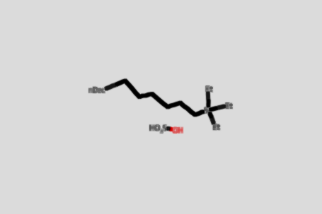 CCCCCCCCCCCCCCCC[Si](CC)(CC)CC.O=S(=O)(O)O